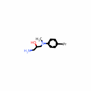 CC(C)c1ccc(N(C)CC(O)CN)cc1